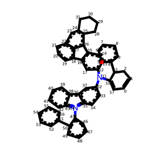 C1=CCC(c2ccccc2)C(N(c2ccc3c(c2)-c2cccc4cc5c(c-3c24)CCCC5)c2ccc3c(c2)c2ccccc2n3-c2ccccc2-c2ccccc2)=C1